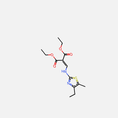 CCOC(=O)C(=CNc1nc(CC)c(C)s1)C(=O)OCC